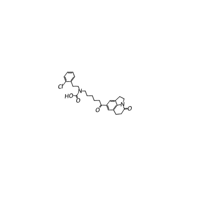 O=C(CCCCCN(CCc1ccccc1Cl)C(=O)O)c1cc2c3c(c1)CCN3C(=O)CC2